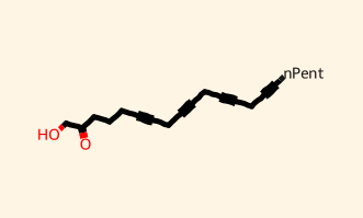 CCCCCC#CCC#CCC#CCC#CCCCC(=O)CO